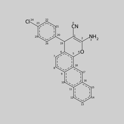 N#CC1=C(N)Oc2c(ccc3cc4ccccc4cc23)C1c1ccc(Cl)cc1